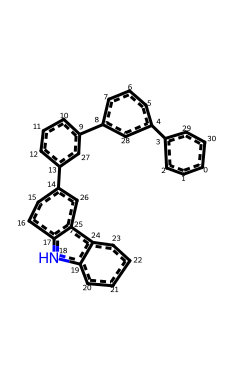 c1ccc(-c2cccc(-c3cccc(-c4ccc5[nH]c6ccccc6c5c4)c3)c2)cc1